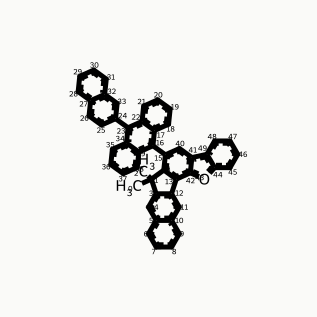 CC1(C)c2cc3ccccc3cc2-c2c1c(-c1c3ccccc3c(-c3ccc4ccccc4c3)c3ccccc13)cc1c2oc2ccccc21